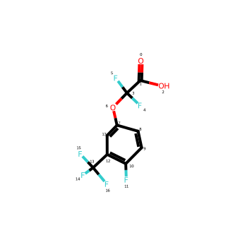 O=C(O)C(F)(F)Oc1ccc(F)c(C(F)(F)F)c1